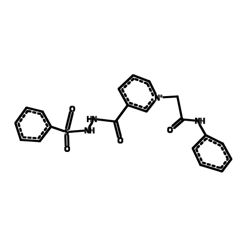 O=C(C[n+]1cccc(C(=O)NNS(=O)(=O)c2ccccc2)c1)Nc1ccccc1